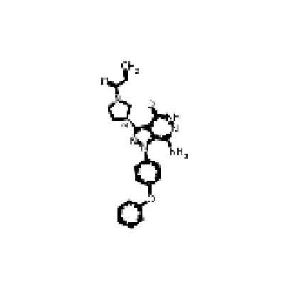 C=CC(=O)N1CC[C@H](c2nn(-c3ccc(Oc4ccccc4)cc3)c3c(N)n[nH]c(=O)c23)C1